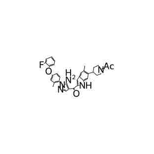 CC(=O)N1CCC(c2cc3[nH]c(C(=O)c4cnn(-c5ccc(Oc6ccccc6F)cc5C)c4N)cc3cc2C)CC1